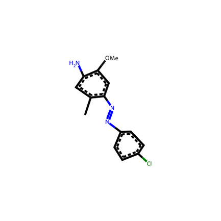 COc1cc(N=Nc2ccc(Cl)cc2)c(C)cc1N